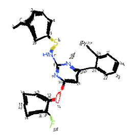 Cc1cccc(SNc2nc(Oc3ccccc3F)cc(-c3ccccc3C(C)C)n2)c1